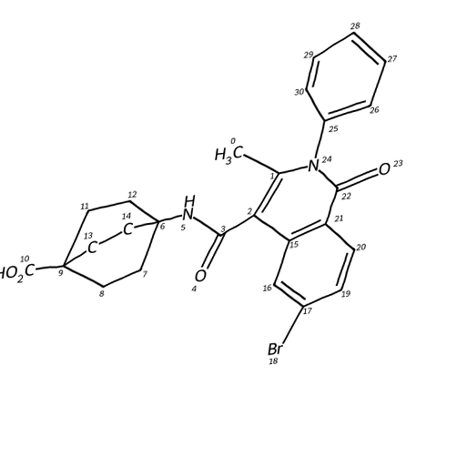 Cc1c(C(=O)NC23CCC(C(=O)O)(CC2)CC3)c2cc(Br)ccc2c(=O)n1-c1ccccc1